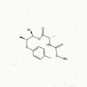 Cc1ccc(O[C@@H](C)[C@H](OC(=O)[C@H](C)NC(=O)OC(C)(C)C)C(C)C)cc1